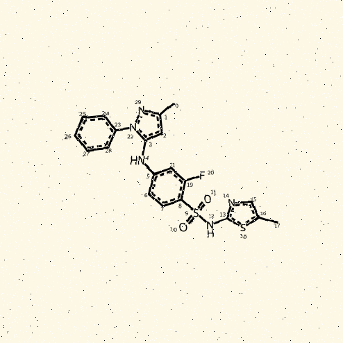 Cc1cc(Nc2ccc(S(=O)(=O)Nc3ncc(C)s3)c(F)c2)n(-c2ccccc2)n1